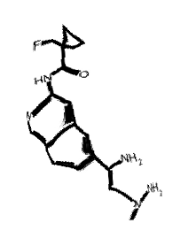 CN(N)/C=C(\N)c1ccc2cnc(NC(=O)C3(F)CC3)cc2c1